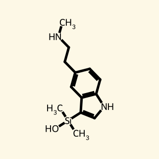 CNCCc1ccc2[nH]cc([Si](C)(C)O)c2c1